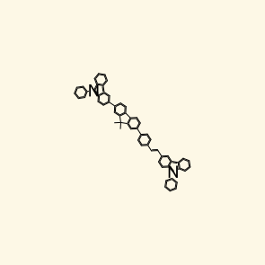 CC1(C)c2cc(-c3ccc(/C=C/c4ccc5c(c4)c4ccccc4n5-c4ccccc4)cc3)ccc2-c2ccc(-c3ccc4c(c3)c3ccccc3n4-c3ccccc3)cc21